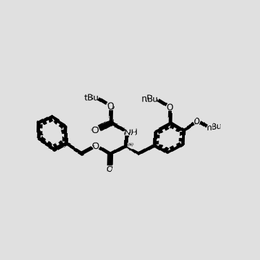 CCCCOc1ccc(C[C@H](NC(=O)OC(C)(C)C)C(=O)OCc2ccccc2)cc1OCCCC